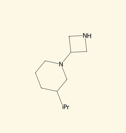 CC(C)C1CCCN(C2CNC2)C1